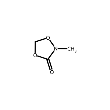 CN1OCOC1=O